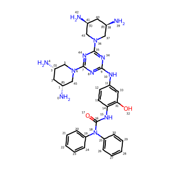 N[C@@H]1C[C@H](N)CN(c2nc(Nc3ccc(NC(=O)N(c4ccccc4)c4ccccc4)c(O)c3)nc(N3C[C@H](N)C[C@H](N)C3)n2)C1